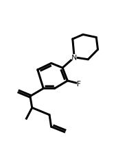 C=CCC(C)C(=C)c1ccc(N2CCCCC2)c(F)c1